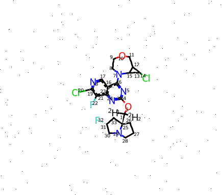 [2H]C([2H])(Oc1nc(N2CCOCC3C(Cl)C32)c2cnc(Cl)c(F)c2n1)[C@@]12CCCN1C[C@H](F)C2